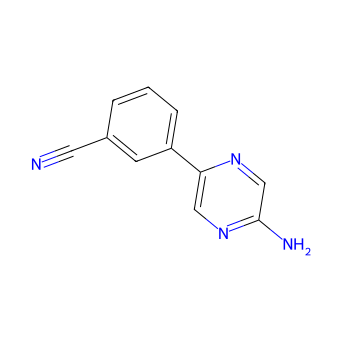 N#Cc1cccc(-c2cnc(N)cn2)c1